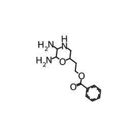 NC1NCC(CCOC(=O)c2ccccc2)OC1N